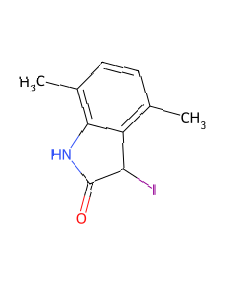 Cc1ccc(C)c2c1NC(=O)C2I